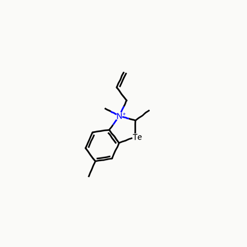 C=CC[N+]1(C)c2ccc(C)cc2[Te]C1C